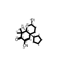 CC[C@H]1CC[C@]2(C3CCCC3)C=C(C#N)C(=O)C(C)(C)[C@H]2O1